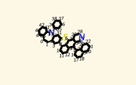 C1=Cc2ccc(Sc3c4ccccc4c(-c4cccc5ccccc45)c4cnccc34)cc2N(c2ccccc2)c2ccccc21